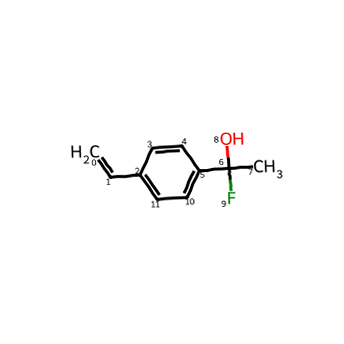 C=Cc1ccc(C(C)(O)F)cc1